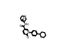 O=C(NC1CN2CCC1CC2)c1ccc(=O)n(-c2ccc(C3CCCCC3)cc2)c1